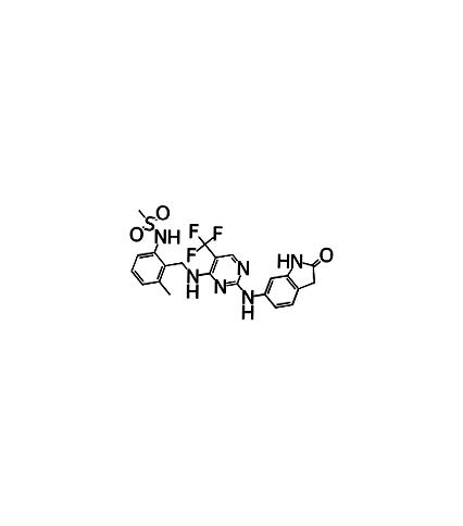 Cc1cccc(NS(C)(=O)=O)c1CNc1nc(Nc2ccc3c(c2)NC(=O)C3)ncc1C(F)(F)F